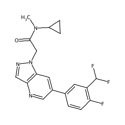 CN(C(=O)Cn1ncc2ncc(-c3ccc(F)c(C(F)F)c3)cc21)C1CC1